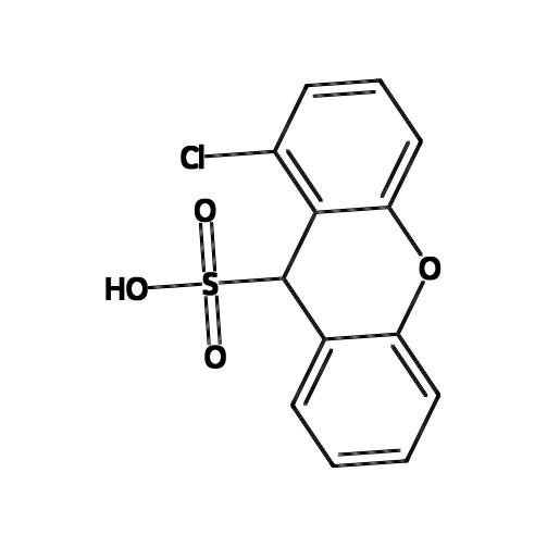 O=S(=O)(O)C1c2ccccc2Oc2cccc(Cl)c21